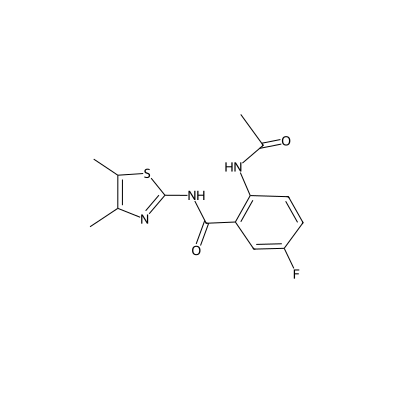 CC(=O)Nc1ccc(F)cc1C(=O)Nc1nc(C)c(C)s1